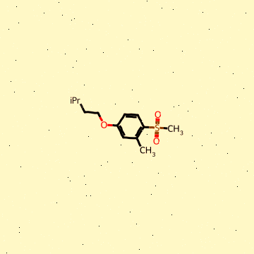 Cc1cc(OCCC(C)C)ccc1S(C)(=O)=O